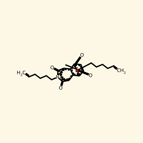 C=CCCCCn1c(=O)c2ccc(c1=O)c1c3ccc(c(=O)n(CCCCC=C)c3=O)c21